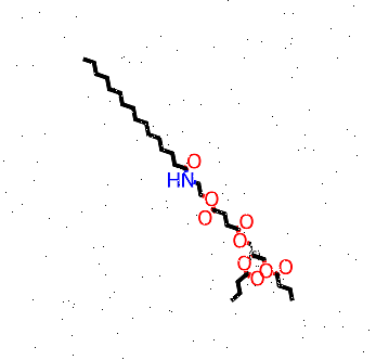 CCCCCCCCCCCCCCCC(=O)NCCOC(=O)CCC(=O)OC[C@H](COC(=O)CCC)OC(=O)CCC